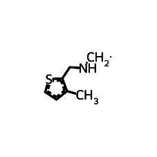 [CH2]NCc1sccc1C